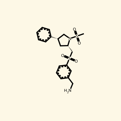 CS(=O)(=O)N1C[C@@H](c2ccccc2)C[C@H]1CS(=O)(=O)c1cccc(CN)c1